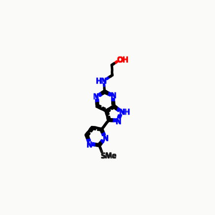 CSc1nccc(-c2n[nH]c3nc(NCCO)ncc23)n1